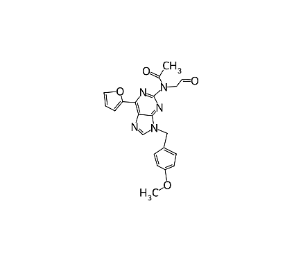 COc1ccc(Cn2cnc3c(-c4ccco4)nc(N(CC=O)C(C)=O)nc32)cc1